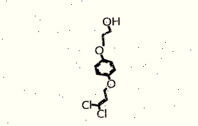 OCCCOc1ccc(OCC=C(Cl)Cl)cc1